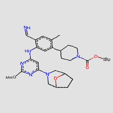 COc1nc(Nc2cc(C3CCN(C(=O)OC(C)(C)C)CC3)c(C)cc2C=N)cc(N2CC3CCC(C2)O3)n1